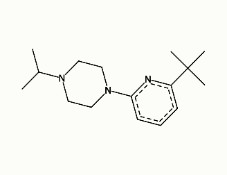 CC(C)N1CCN(c2cccc(C(C)(C)C)n2)CC1